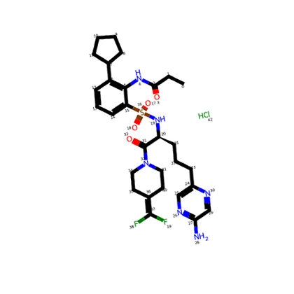 CCC(=O)Nc1c(C2CCCC2)cccc1S(=O)(=O)N[C@@H](CCCc1cnc(N)cn1)C(=O)N1CCC(=C(F)F)CC1.Cl